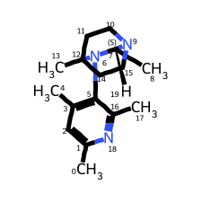 Cc1cc(C)c(N2[C@@H](C)N3CCC2(C)CC3)c(C)n1